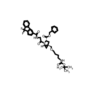 CC(C)(C)OC(=O)NCCCCOC[C@@]12C[C@@H]1N(C(=O)CNC(=O)c1ccc3c(c1)-c1ccccc1C3(F)F)[C@H](C(=O)OCc1ccccc1)C2